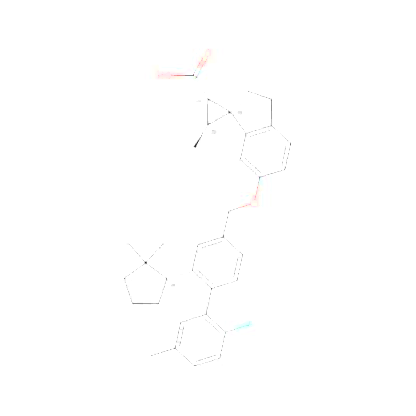 Cc1ccc(F)c(-c2ccc(COc3ccc4c(c3)[C@@]3(CC4)[C@@H](C)[C@@H]3C(=O)O)cc2[C@@H]2CCCC2(C)C)c1